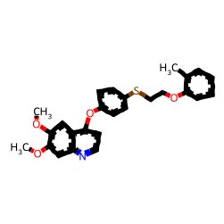 COc1cc2nccc(Oc3ccc(SCCOc4ccccc4C)cc3)c2cc1OC